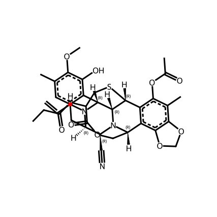 C=CCN1[C@@H]2Cc3cc(C)c(OC)c(O)c3[C@@H]1[C@@H]1[C@@H]3SCC(NC(=O)CC)C(=O)OC[C@@H](c4c5c(c(C)c(OC(C)=O)c43)OCO5)N1[C@H]2C#N